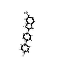 Oc1ccc2nc(-c3ccc(-c4ccc(I)nn4)cc3)sc2c1